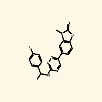 CC(Nc1ncc(-c2ccc3oc(=O)n(C)c3c2)nn1)c1ccc(F)cc1